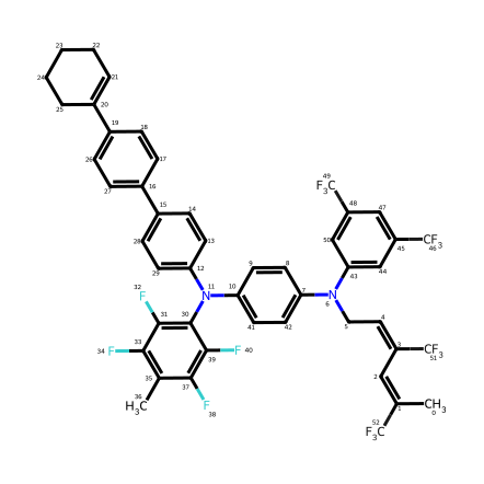 C/C(=C\C(=C/CN(c1ccc(N(c2ccc(-c3ccc(C4=CCCCC4)cc3)cc2)c2c(F)c(F)c(C)c(F)c2F)cc1)c1cc(C(F)(F)F)cc(C(F)(F)F)c1)C(F)(F)F)C(F)(F)F